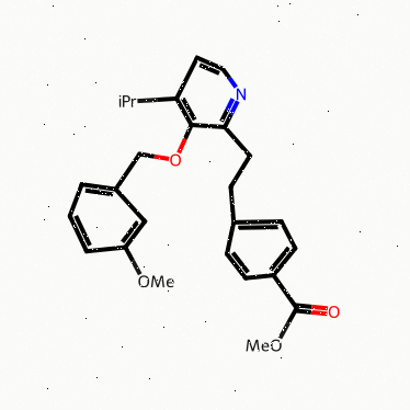 COC(=O)c1ccc(CCc2nccc(C(C)C)c2OCc2cccc(OC)c2)cc1